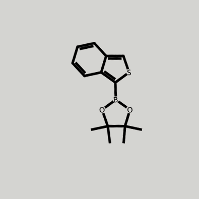 CC1(C)OB(c2scc3ccccc23)OC1(C)C